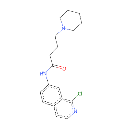 O=C(CCCN1CCCCC1)Nc1ccc2ccnc(Cl)c2c1